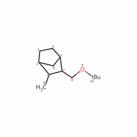 CC1C2CCC(C2)C1COC(C)(C)C